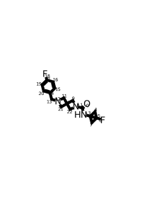 O=C(NC12CC1(F)C2)N1CC2(CN(Cc3ccc(F)cc3)C2)C1